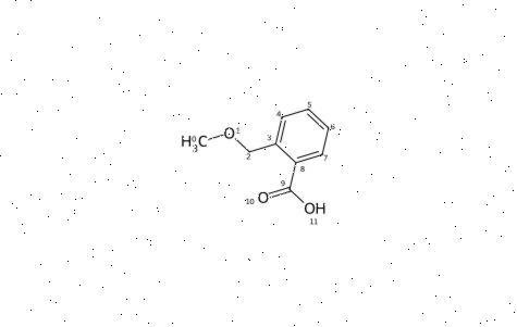 COCc1ccccc1C(=O)O